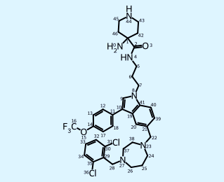 NC1(C(=O)NCCCn2cc(-c3ccc(OC(F)(F)F)cc3)c3cc(CN4CCCN(Cc5c(Cl)cccc5Cl)CC4)ccc32)CCNCC1